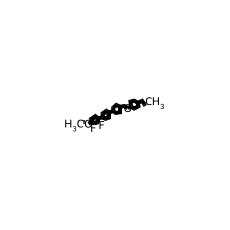 CCCC1CCC(OCC2CCC(c3ccc(-c4ccc(OCC)c(F)c4F)cc3)CC2)CC1